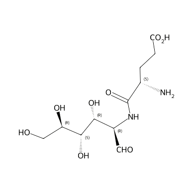 N[C@@H](CCC(=O)O)C(=O)N[C@@H](C=O)[C@@H](O)[C@H](O)[C@H](O)CO